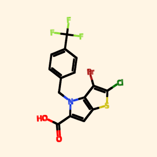 O=C(O)c1cc2sc(Cl)c(Br)c2n1Cc1ccc(C(F)(F)F)cc1